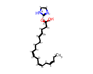 C1=NCCN1.CC/C=C\C/C=C\C/C=C\CCCCCCCC(=O)O